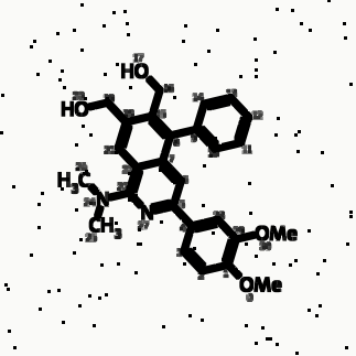 COc1ccc(-c2cc3c(-c4ccccc4)c(CO)c(CO)cc3c(N(C)C)n2)cc1OC